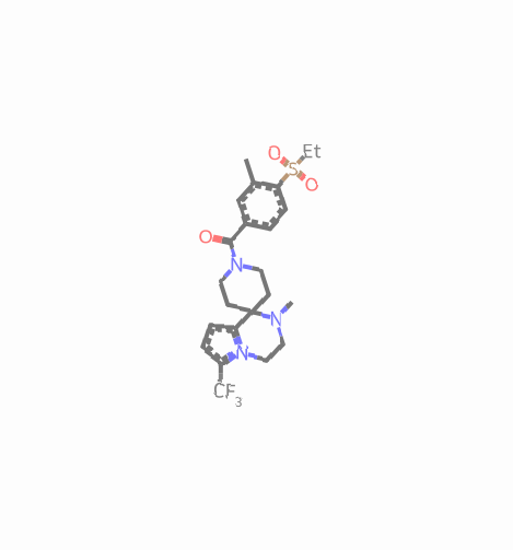 CCS(=O)(=O)c1ccc(C(=O)N2CCC3(CC2)c2ccc(C(F)(F)F)n2CCN3C)cc1C